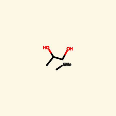 CC(O)CO.CSC